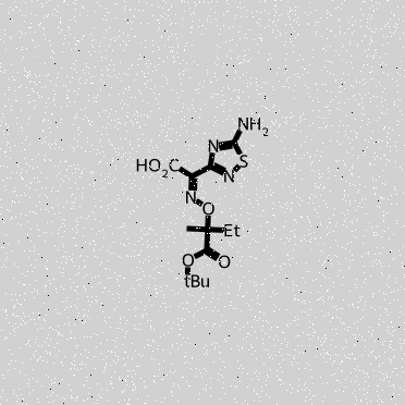 CCC(C)(O/N=C(/C(=O)O)c1nsc(N)n1)C(=O)OC(C)(C)C